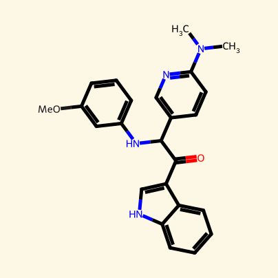 COc1cccc(NC(C(=O)c2c[nH]c3ccccc23)c2ccc(N(C)C)nc2)c1